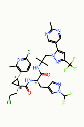 Cc1ncc(-c2cc(C(F)(F)F)nn2CC(C)(C)NC(=O)[C@@H](Cc2cnn(C(F)F)c2)NC(=O)[C@@]2(CCCl)C[C@@H]2c2ccc(Cl)nc2C)cn1